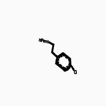 [CH2]CCCCCCc1ccc(Cl)cc1